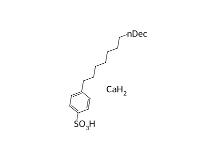 CCCCCCCCCCCCCCCCCc1ccc(S(=O)(=O)O)cc1.[CaH2]